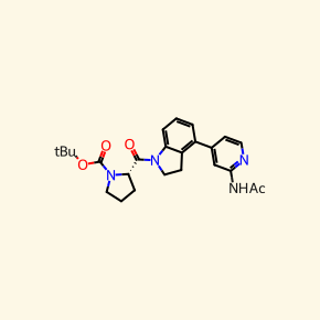 CC(=O)Nc1cc(-c2cccc3c2CCN3C(=O)[C@@H]2CCCN2C(=O)OC(C)(C)C)ccn1